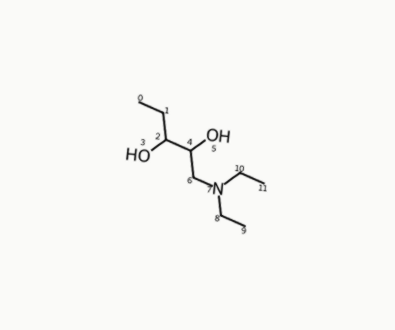 CCC(O)C(O)CN(CC)CC